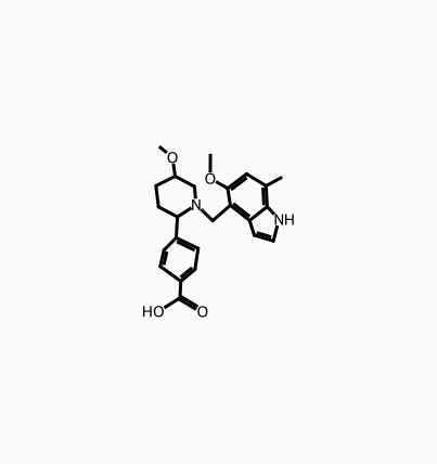 COc1cc(C)c2[nH]ccc2c1CN1CC(OC)CCC1c1ccc(C(=O)O)cc1